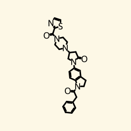 O=C(c1nccs1)N1CCN(C2CC(=O)N(c3ccc4c(c3)CCN4C(=O)Cc3ccccc3)C2)CC1